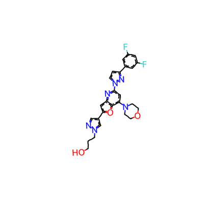 OCCCn1cc(-c2cc3nc(-n4ccc(-c5cc(F)cc(F)c5)n4)cc(N4CCOCC4)c3o2)cn1